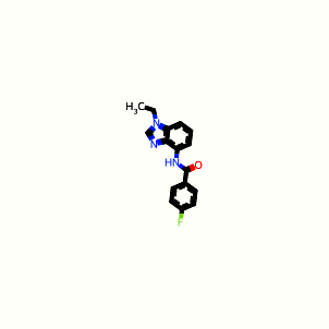 CCn1cnc2c(NC(=O)c3ccc(F)cc3)cccc21